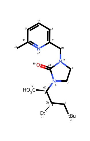 CC[C@@H](CC(C)(C)C)[C@@H](C(=O)O)N1CCN(Cc2cccc(C)n2)C1=O